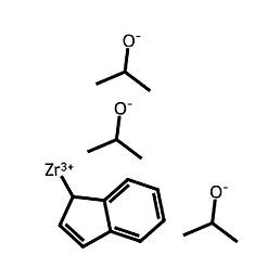 CC(C)[O-].CC(C)[O-].CC(C)[O-].[Zr+3][CH]1C=Cc2ccccc21